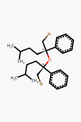 CC(C)CC[C@](CBr)(O[C@@](CBr)(CCC(C)C)c1ccccc1)c1ccccc1